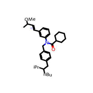 CCCCC(Cc1ccc(CN(C(=O)C2CCCCC2)c2cccc(/C=C/C(C)OC)c2)cc1)C(C)C